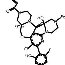 C=CC(=O)N1CCN2C(=O)c3c(N4CCN(CC)CC4(C)O)nc(-c4c(O)cccc4F)c(Cl)c3OC[C@H]2C1